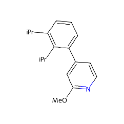 COc1cc(-c2cccc(C(C)C)c2C(C)C)ccn1